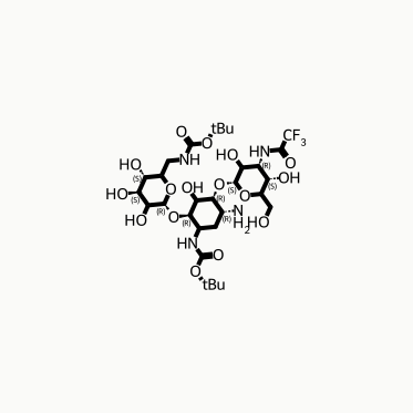 CC(C)(C)OC(=O)NCC1O[C@H](O[C@@H]2C(NC(=O)OC(C)(C)C)C[C@@H](N)[C@@H](O[C@H]3OC(CO)[C@@H](O)[C@@H](NC(=O)C(F)(F)F)C3O)C2O)C(O)[C@@H](O)[C@@H]1O